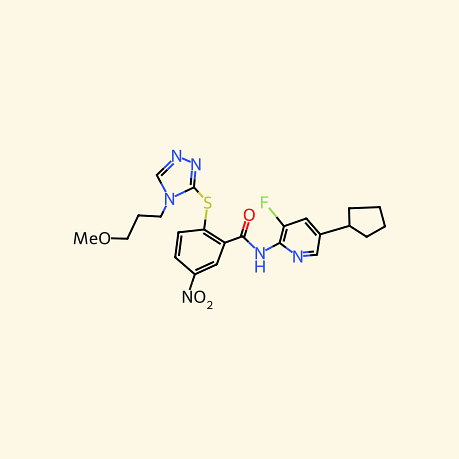 COCCCn1cnnc1Sc1ccc([N+](=O)[O-])cc1C(=O)Nc1ncc(C2CCCC2)cc1F